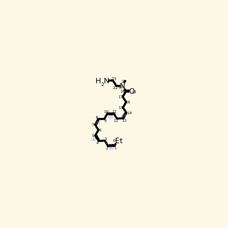 CC/C=C\C/C=C\C/C=C\C/C=C\C/C=C\CCCC(=O)N(C)CCN